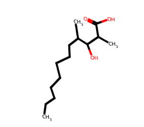 CCCCCCCCC(C)C(O)C(C)C(=O)O